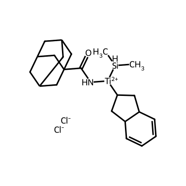 C[SiH](C)[Ti+2]([NH]C(=O)C12CC3CC(CC(C3)C1)C2)[CH]1CC2C=CC=CC2C1.[Cl-].[Cl-]